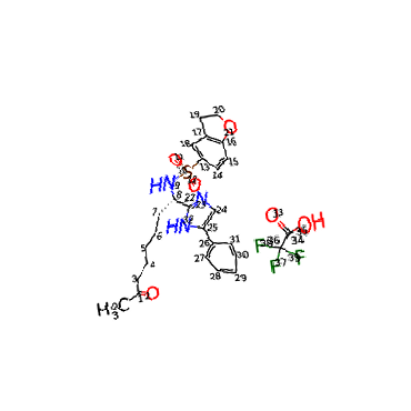 CC(=O)CCCCC[C@H](NS(=O)(=O)c1ccc2c(c1)CCO2)c1ncc(-c2ccccc2)[nH]1.O=C(O)C(F)(F)F